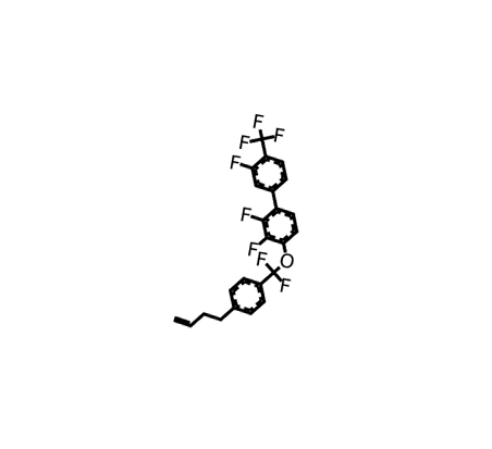 C=CCCc1ccc(C(F)(F)Oc2ccc(-c3ccc(C(F)(F)F)c(F)c3)c(F)c2F)cc1